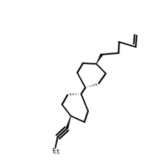 C=CCCC[C@H]1CC[C@H]([C@H]2CC[C@H](C#CCC)CC2)CC1